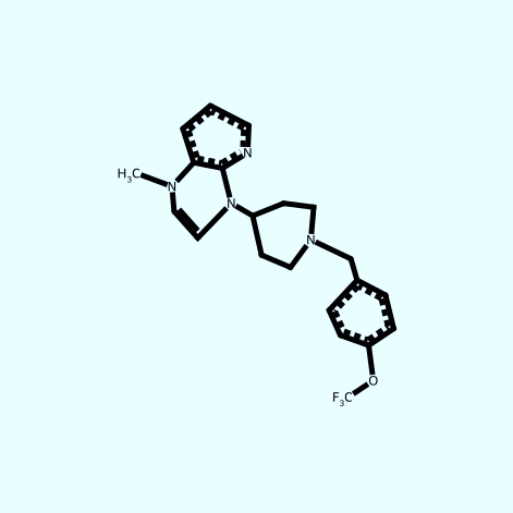 CN1C=CN(C2CCN(Cc3ccc(OC(F)(F)F)cc3)CC2)c2ncccc21